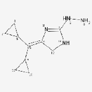 NNC1=NC(=C(C2CC2)C2CC2)CN1